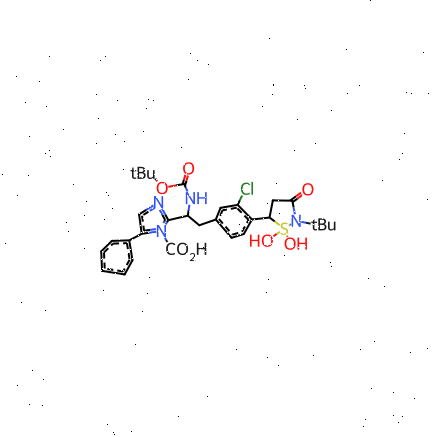 CC(C)(C)OC(=O)NC(Cc1ccc(C2CC(=O)N(C(C)(C)C)S2(O)O)c(Cl)c1)c1ncc(-c2ccccc2)n1C(=O)O